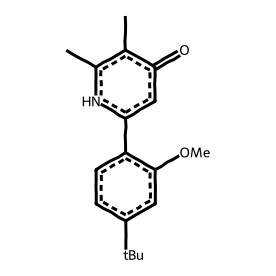 COc1cc(C(C)(C)C)ccc1-c1cc(=O)c(C)c(C)[nH]1